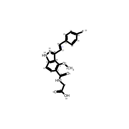 COc1c(C(=O)NCC(=O)O)ccc2[nH]nc(/C=C/c3ccc(F)cc3)c12